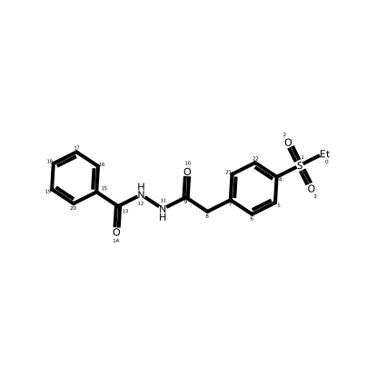 CCS(=O)(=O)c1ccc(CC(=O)NNC(=O)c2ccccc2)cc1